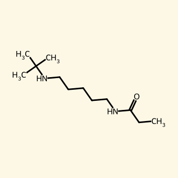 CCC(=O)NCCCCCNC(C)(C)C